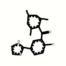 Cc1cc(C)c(C(=O)c2cc(-c3ncc[nH]3)ccc2Cl)c(C)c1